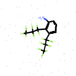 Nc1cccc(C(F)(F)C(F)(F)C(F)(F)F)c1C(F)(F)C(F)(F)C(F)(F)F